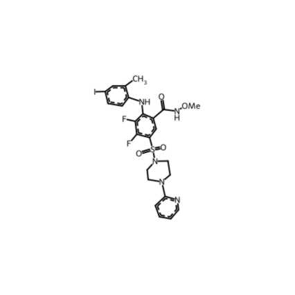 CONC(=O)c1cc(S(=O)(=O)N2CCN(c3ccccn3)CC2)c(F)c(F)c1Nc1ccc(I)cc1C